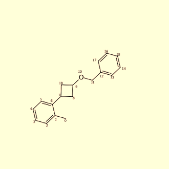 Cc1ccccc1C1CC(OCc2ccccc2)C1